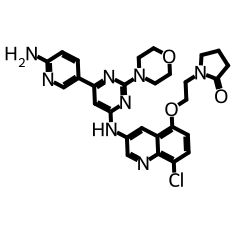 Nc1ccc(-c2cc(Nc3cnc4c(Cl)ccc(OCCN5CCCC5=O)c4c3)nc(N3CCOCC3)n2)cn1